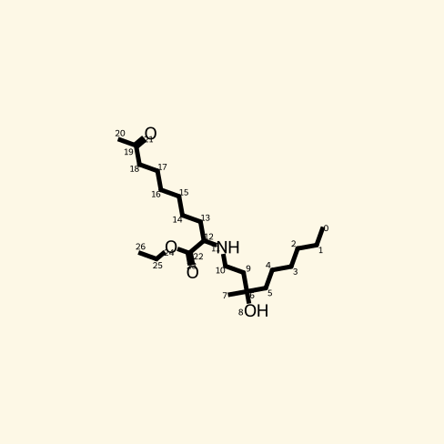 CCCCCCC(C)(O)CCNC(CCCCCCC(C)=O)C(=O)OCC